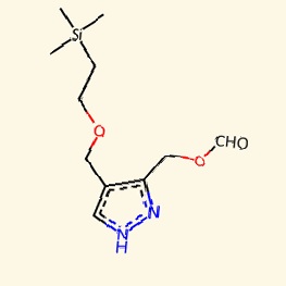 C[Si](C)(C)CCOCc1c[nH]nc1COC=O